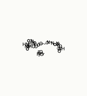 CC(C)(C)OC(=O)C(F)(F)F.Cc1c(OCCCC2CCN(CC3CN(c4ccc5c(C6CCC(=O)NC6=O)nn(C)c5c4)C3)CC2)cccc1-c1ccc(N2CCc3cccc(C(=O)Nc4nc5ccccc5s4)c3C2)nc1C(=O)O